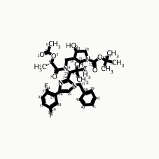 CC(=O)O[C@@H](C)C(=O)N(CC1CN(C(=O)OC(C)(C)C)CC1O)[C@@H](c1nc(-c2cc(F)ccc2F)cn1Cc1ccccc1)C(C)(C)C